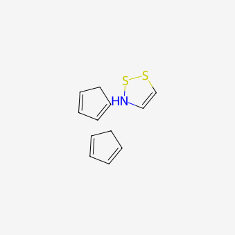 C1=CCC=C1.C1=CCC=C1.C1=CSSN1